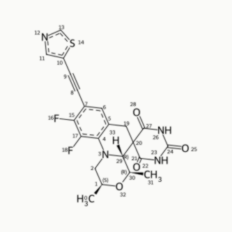 C[C@H]1CN2c3c(cc(C#Cc4cncs4)c(F)c3F)CC3(C(=O)NC(=O)NC3=O)[C@@H]2[C@@H](C)O1